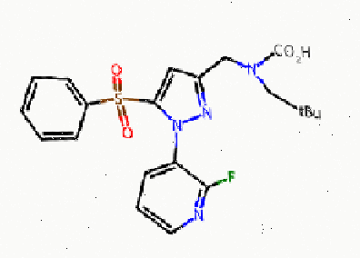 CC(C)(C)CN(Cc1cc(S(=O)(=O)c2ccccc2)n(-c2cccnc2F)n1)C(=O)O